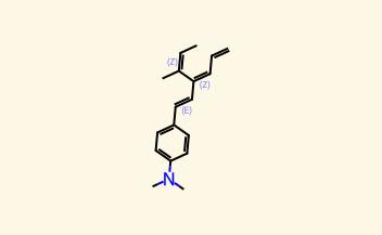 C=C/C=C(/C=C/c1ccc(N(C)C)cc1)C(\C)=C/C